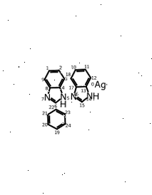 [Ag].c1ccc2[nH]cnc2c1.c1ccc2[nH]cnc2c1.c1ccccc1